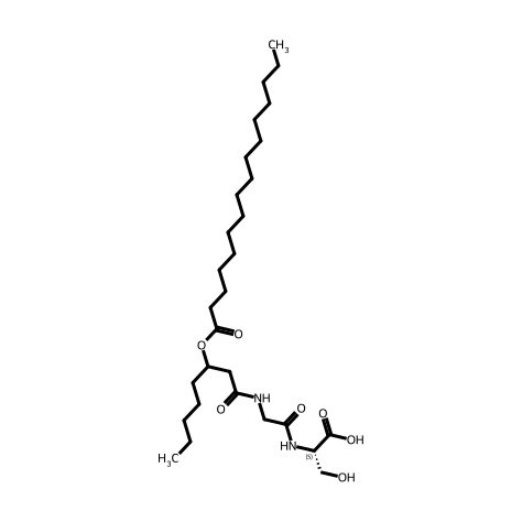 CCCCCCCCCCCCCCCC(=O)OC(CCCCC)CC(=O)NCC(=O)N[C@@H](CO)C(=O)O